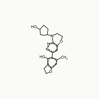 Cc1cc2c(c(O)c1-c1cc3c(nn1)N(C1CCC(O)CC1)CCO3)CCO2